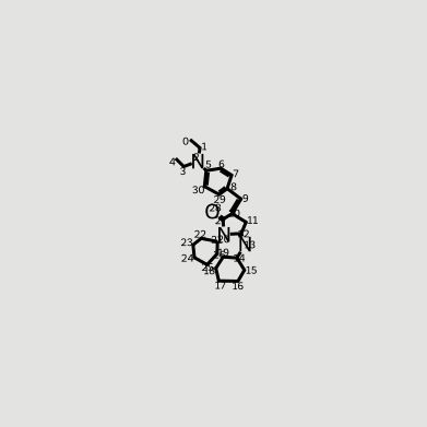 CCN(CC)c1ccc(/C=C2/C/C(=N/C3CCCCC3)N(C3CCCCC3)C2=O)cc1